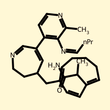 CCC/C=N\c1c(C2=CC(CC3=C/CCC/C=C(C(C)C(N)=O)/C=C\3)CCN=C2)ccnc1C